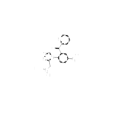 CN(C)Cc1nncn1-c1ccc([N+](=O)[O-])cc1C(=O)c1ccccn1